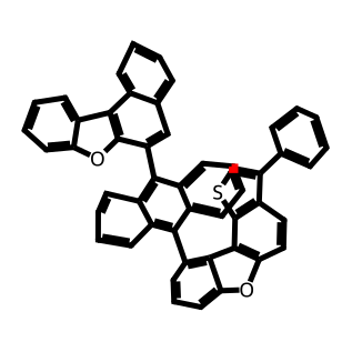 c1ccc(-c2csc3c2ccc2oc4cccc(-c5c6ccccc6c(-c6cc7ccccc7c7c6oc6ccccc67)c6ccccc56)c4c23)cc1